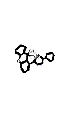 CC1(C)c2ccccc2Oc2cccc(C(=N)/C=C\C(=N)c3ccccc3)c21